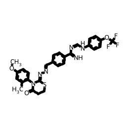 COc1ccc(N2C(=O)CCS/C2=N\N=C\c2ccc(C(=N)/N=C\Nc3ccc(OC(F)(F)F)cc3)cc2)c(C)c1